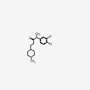 CN1CCC(CCC(=O)N(C)c2ccc(Cl)c(Cl)c2)CC1